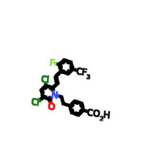 O=C(O)c1ccc(CCn2c(/C=C/c3cc(C(F)(F)F)ccc3F)c(Cl)cc(Cl)c2=O)cc1